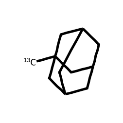 [13CH3]C12CC3CC(CC(C3)C1)C2